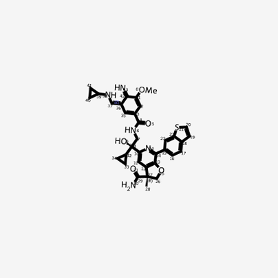 COC1=CC(C(=O)NC[C@](O)(c2cc3c(c(-c4ccc5ccsc5c4)n2)OC[C@]3(C)C(N)=O)C2CC2)=C/C(=C/NC2CC2)C1=N